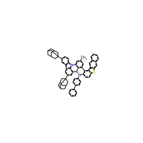 Cc1cc2c3c(c1)-n1c4ccc(C56CC7CC(CC(C7)C5)C6)cc4c4cc(C56CC7CC(CC(C7)C5)C6)cc(c41)B3N(c1ccc(-c3ccccc3)cc1)c1ccc3sc4cc5ccccc5cc4c3c1-2